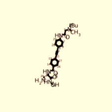 CN(CC(=O)Nc1ccc(C#Cc2ccc(C(=O)N[C@@H](CN)C(=O)NO)cc2)cc1)C(C)(C)C